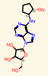 OC[C@H]1O[C@@H](n2cnc3c(N[C@H]4CCC[C@@H]4O)ncnc32)C(O)C1O